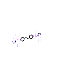 O=C(Nc1ccc(CCc2ccc(NC(=O)[C@@H]3CCCN3)cc2)cc1)[C@@H]1CCCN1